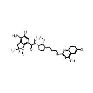 CO[C@H]1[C@@H](NC(=O)c2cc(Cl)c(N)c3c2OC(C)(C)C3)CCN1CCCNc1nc(O)c2cc(Cl)ccc2n1